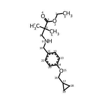 CCOC(=O)C(C)(C)CNCc1ccc(OCC2CC2)cc1